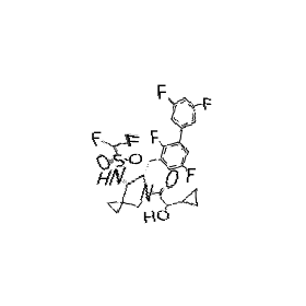 O=C(C(O)C1CC1)N1CC2(CC2)[C@H](NS(=O)(=O)C(F)F)[C@@H]1Cc1cc(F)cc(-c2cc(F)cc(F)c2)c1F